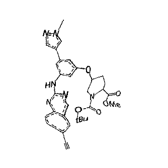 C#Cc1ccc2nc(Nc3cc(OC4CC(C(=O)OC)N(C(=O)OC(C)(C)C)C4)cc(-c4cnn(C)c4)c3)ncc2c1